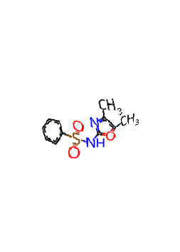 Cc1nc(NS(=O)(=O)c2ccccc2)oc1C